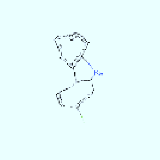 FC1=CC2Nc3ccccc3C2C=C1